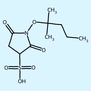 CCCC(C)(C)ON1C(=O)CC(S(=O)(=O)O)C1=O